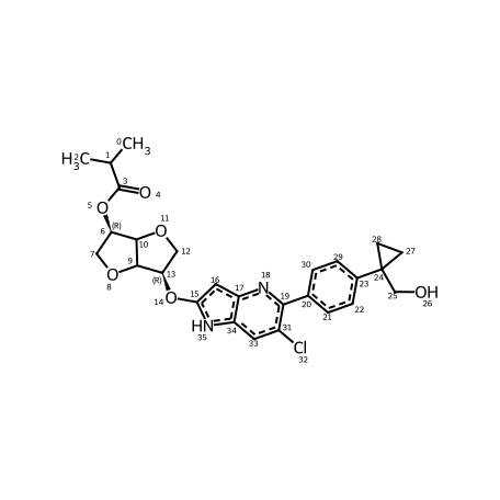 CC(C)C(=O)O[C@@H]1COC2C1OC[C@H]2Oc1cc2nc(-c3ccc(C4(CO)CC4)cc3)c(Cl)cc2[nH]1